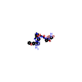 CN(CCOCCNC(=O)CNc1cccc2c1C(=O)N(C1CCC(=O)NC1=O)C2=O)C(C)(C)C=C(C#N)C(=O)N1CCC[C@@H](n2nc(-c3ccc(Oc4ccccc4)cc3)c3c(N)ncnc32)C1